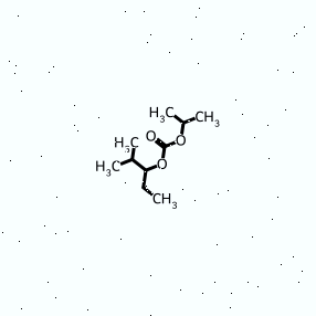 CCC(OC(=O)OC(C)C)C(C)C